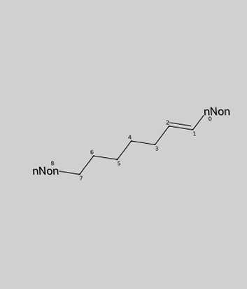 CCCCCCCCC/C=C/CCCCCCCCCCCCCC